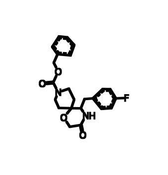 O=C1COC2(CCN(C(=O)OCc3ccccc3)CC2)C(Cc2ccc(F)cc2)N1